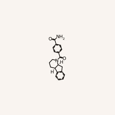 NC(=O)c1ccc(C(=O)N2CCC[C@@H]3c4ccccc4C[C@@H]32)cc1